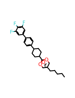 CCCCCC12COC(C3CCC(c4ccc(-c5cc(F)c(F)c(F)c5)cc4)CC3)(OC1)OC2